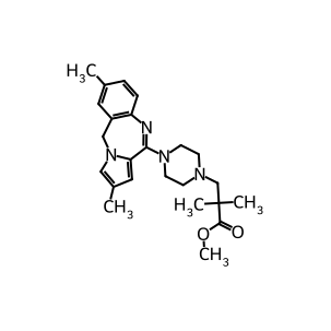 COC(=O)C(C)(C)CN1CCN(C2=Nc3ccc(C)cc3Cn3cc(C)cc32)CC1